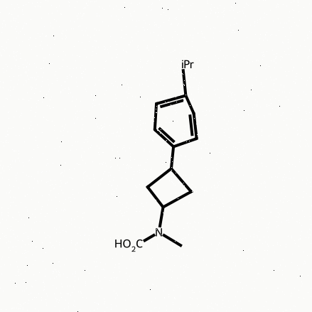 CC(C)c1ccc(C2CC(N(C)C(=O)O)C2)cc1